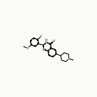 COc1ccc(F)c(-c2nc3ccc(C4CCN(C)CC4)cc3c(=O)[nH]2)c1